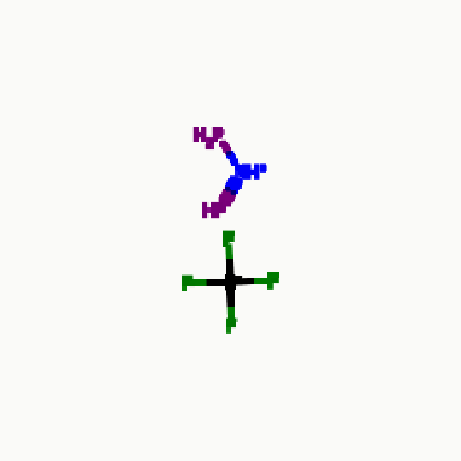 F[B-](F)(F)F.P=[NH+]P